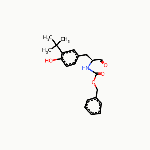 CC(C)(C)c1cc(C[C@@H]([C]=O)NC(=O)OCc2ccccc2)ccc1O